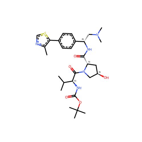 Cc1ncsc1-c1ccc([C@H](CN(C)C)NC(=O)[C@@H]2C[C@@H](O)CN2C(=O)[C@@H](NC(=O)OC(C)(C)C)C(C)C)cc1